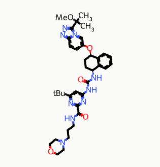 COC(C)(C)c1nnc2ccc(O[C@@H]3CC[C@H](NC(=O)Nc4cc(C(C)(C)C)nc(C(=O)NCCCN5CCOCC5)n4)c4ccccc43)cn12